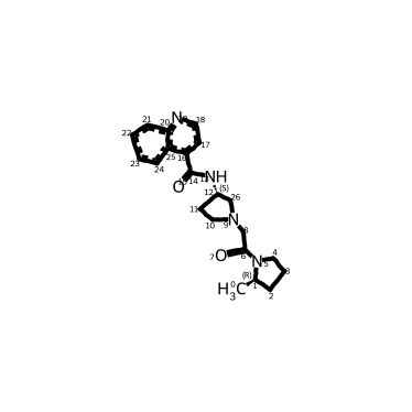 C[C@@H]1CCCN1C(=O)CN1CC[C@H](NC(=O)c2ccnc3ccccc23)C1